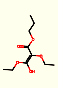 CCCOC(=O)C(OCC)=C(O)OCC